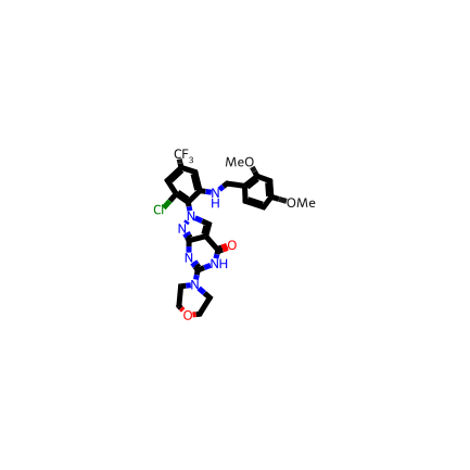 COc1ccc(CNc2cc(C(F)(F)F)cc(Cl)c2-n2cc3c(=O)[nH]c(N4CCOCC4)nc3n2)c(OC)c1